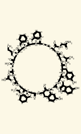 CCCC[C@H]1C(=O)N(C)CC(=O)N[C@@H](CC(=O)O)C(=O)N[C@@H](C(C)C)C(=O)N(C)[C@@H](Cc2ccccc2)C(=O)N[C@H]2Cc3ccc(O)cc3N(CC(=O)N[C@@H](Cc3c[nH]c4ccc(O)cc34)C(=O)NC(Cc3ccc(O)cc3)C(=O)N[C@@H](CC(C)C)C(=O)N[C@H](C(=O)NCC(N)=O)CSCC(=O)N[C@@H](Cc3ccccc3)C(=O)N(C)[C@@H](Cc3ccccc3)C(=O)N1C)C2=O